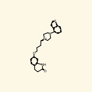 O=C1CCc2ccc(OCCCC=[N+]3CCN(c4cccc5sccc45)CC3)cc2N1